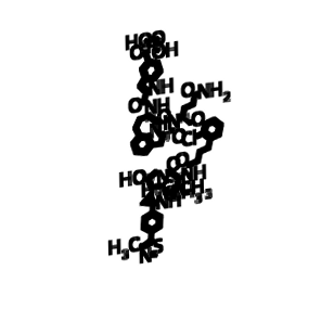 Cc1ncsc1-c1ccc(C2(NC(=O)[C@@H]3C[C@@H](O)CN3C(=O)[C@@H](NC(=O)CCCc3cccc(OC[C@H](CCC(N)=O)NC(=O)[C@@H]4Cc5cccc6c5N4C(=O)[C@@H](NC(=O)c4cc5cc(C(=O)P(=O)(O)O)ccc5[nH]4)CC6)c3Cl)C(C)(C)C)CC2)cc1